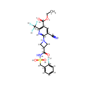 CCOC(=O)c1cc(C#N)c(N2CC(C(=O)NS(=O)(=O)Cc3ccccc3F)C2)nc1C(F)(F)F